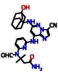 CC(C)(CC(N)=O)N(C=O)c1cccc(Nc2cc(NC34CC5CC(CC(O)(C5)C3)C4)nn3c(C#N)cnc23)n1